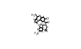 Nc1nc2cc(Cl)c(C(=O)N(CC3CC3)C3COc4nc(C(F)(F)F)ccc43)cc2n2cncc12